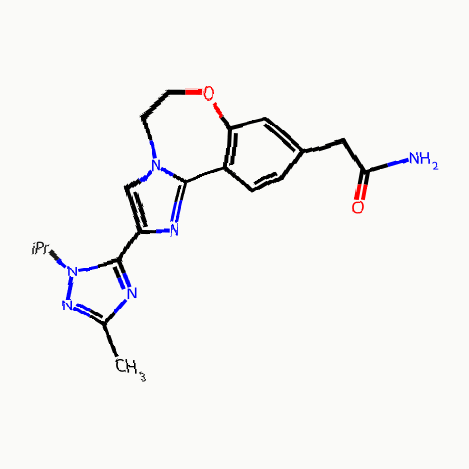 Cc1nc(-c2cn3c(n2)-c2ccc(CC(N)=O)cc2OCC3)n(C(C)C)n1